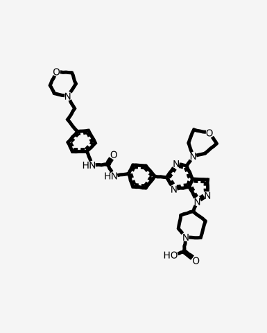 O=C(Nc1ccc(CCN2CCOCC2)cc1)Nc1ccc(-c2nc(N3CCOCC3)c3cnn(C4CCN(C(=O)O)CC4)c3n2)cc1